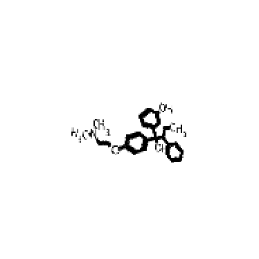 CCC(c1ccccc1)C(O)(c1ccc(OCCN(C)C)cc1)c1cccc(O)c1